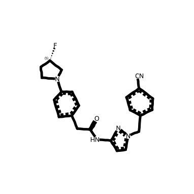 N#Cc1ccc(Cn2ccc(NC(=O)Cc3ccc(N4CC[C@H](F)C4)cc3)n2)cc1